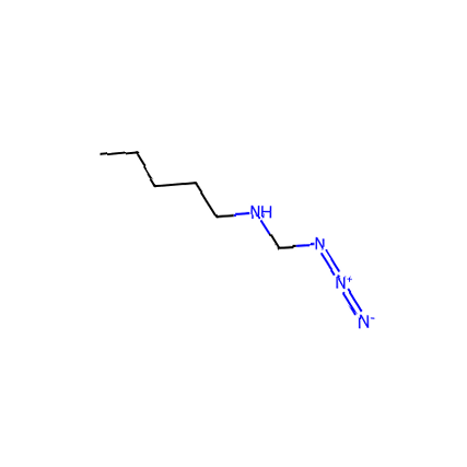 CCCCCNCN=[N+]=[N-]